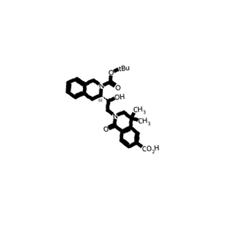 CC(C)(C)OC(=O)N1Cc2ccccc2C[C@H]1C(O)CN1CC(C)(C)c2cc(C(=O)O)ccc2C1=O